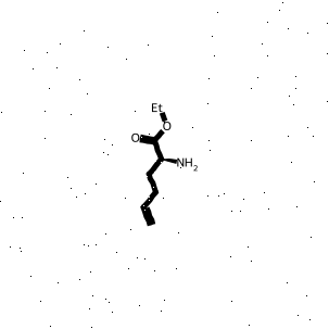 C=CCC[C@H](N)C(=O)OCC